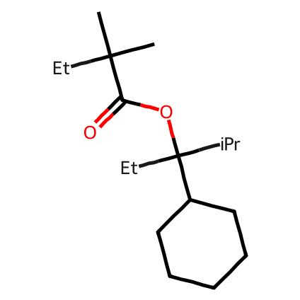 CCC(C)(C)C(=O)OC(CC)(C(C)C)C1CCCCC1